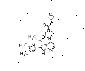 CCC(=O)c1c(-c2cn(C)c(C)n2)[nH]c2nccc(N3CCN(C(=O)OC4COC4)CC3)c12